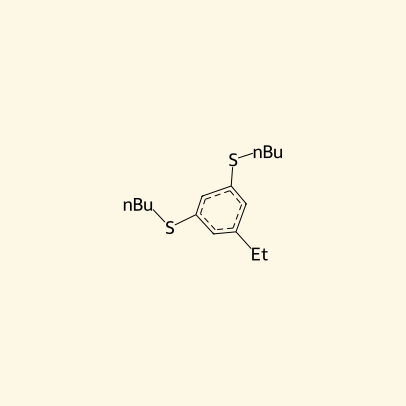 CCCCSc1cc(CC)cc(SCCCC)c1